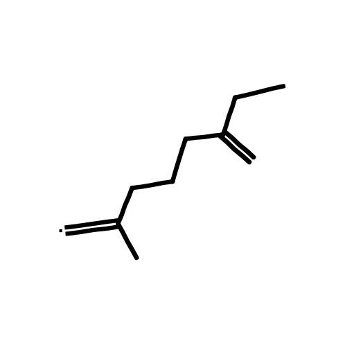 [CH]=C(C)CCCC(=C)CC